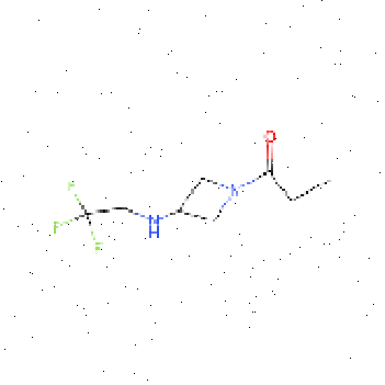 CCC(=O)N1CC(NCC(F)(F)F)C1